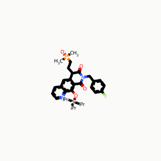 CC(C)[Si](Oc1c2c(cc3cccnc13)C(CCP(C)(C)=O)C(=O)N(Cc1ccc(F)cc1)C2=O)(C(C)C)C(C)C